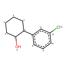 OC1CCCC[C]1c1cccc(Cl)c1